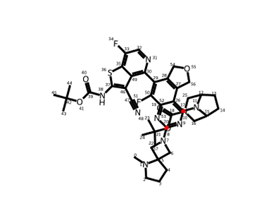 CN1CCCC12CN(c1nc(N3C4CCC3CN(C(=O)OC(C)(C)C)C4)c3c4c(c(-c5ncc(F)c6sc(NC(=O)OC(C)(C)C)c(C#N)c56)c(F)c3n1)COC4)C2